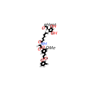 CCCCCCCC(=O)CC[C@@H]1[C@@H](C/C=C\CCCC(=O)NC(C)C(=O)Oc2ccc(/C=C/C(=O)Oc3cccc(C)c3)cc2OC)[C@@H](O)C[C@H]1O